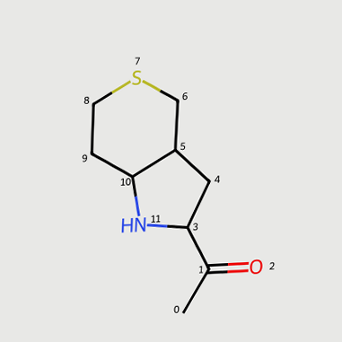 CC(=O)C1CC2CSCCC2N1